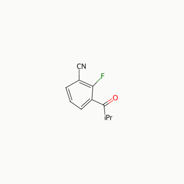 CC(C)C(=O)c1cccc(C#N)c1F